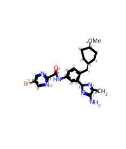 CO[C@H]1CC[C@@H](Cc2ccc(NC(=O)c3ncc(Br)cn3)cc2C2N=C(C)C(N)=N2)CC1